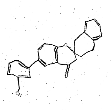 N#Cc1cccc(-c2ccc3c(c2)C(=O)CC2(CCc4ccccc4C2)O3)c1